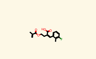 C=C(C)C(=O)OCCC(=Cc1cccc(F)c1C)C(=O)O